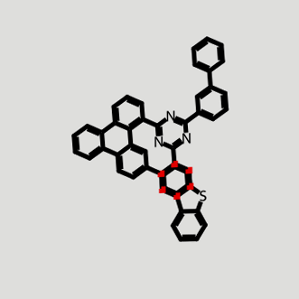 c1ccc(-c2cccc(-c3nc(-c4ccccc4)nc(-c4cccc5c6ccccc6c6ccc(-c7ccc8sc9ccccc9c8c7)cc6c45)n3)c2)cc1